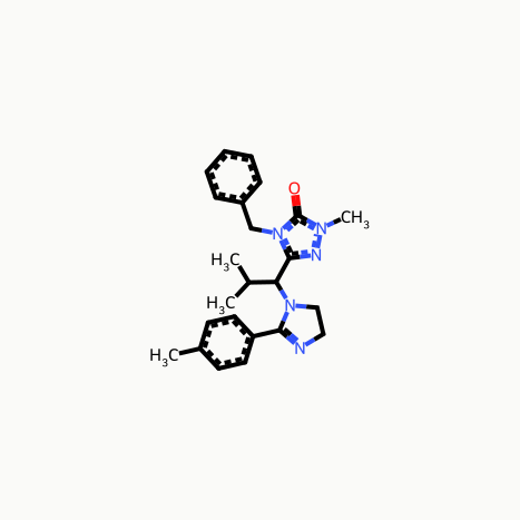 Cc1ccc(C2=NCCN2C(c2nn(C)c(=O)n2Cc2ccccc2)C(C)C)cc1